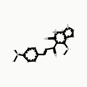 CSc1c(C(=O)/C=C/c2ccc(N(C)C)cc2)c(=O)[nH]c2sccc12